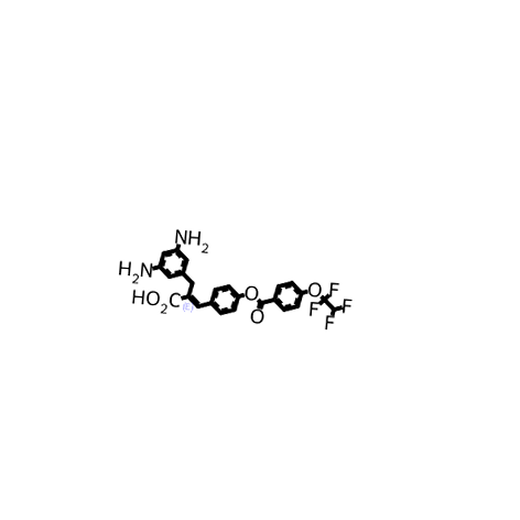 Nc1cc(N)cc(C/C(=C\c2ccc(OC(=O)c3ccc(OC(F)(F)C(F)F)cc3)cc2)C(=O)O)c1